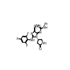 C=C(/N=C1\C(=C/N)N=C(Nc2c(F)cc(F)cc2F)N1[C@@H]1CNC(=O)C1)NC(C)C